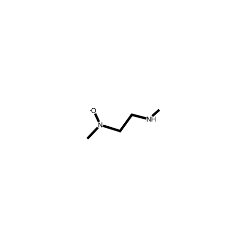 CNCCN(C)[O]